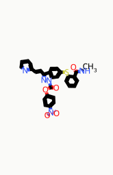 CNC(=O)c1ccccc1Sc1ccc2c(C=Cc3ccccn3)nn(C(=O)Oc3ccc([N+](=O)[O-])cc3)c2c1